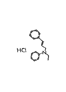 CCN(CC=Cc1ccccc1)c1ccccc1.Cl